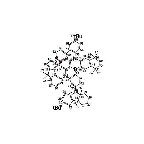 Cc1cc2c3c(c1)N(c1cccc4c1-c1ccccc1C4(C)C)c1cc(N4c5ccc(C(C)(C)C)cc5C5(C)CCCCC45C)ccc1B3c1cc3c(cc1N2c1ccc(C(C)(C)C)cc1-c1ccccc1)C(C)(C)CCC3(C)C